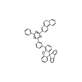 C1=CC2=c3ccc(-c4nc(-c5ccccc5)nc(-c5cccc(-c6cccc7c6Oc6ccccc6C76c7ccccc7-c7ccccc76)c5)n4)cc3=CCC2C=C1